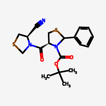 CC(C)(C)OC(=O)N1C(c2ccccc2)SC[C@H]1C(=O)N1CSC[C@H]1C#N